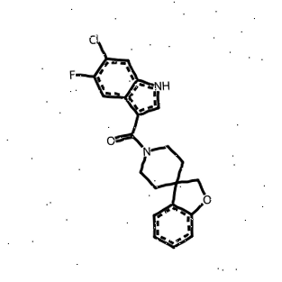 O=C(c1c[nH]c2cc(Cl)c(F)cc12)N1CCC2(CC1)COc1ccccc12